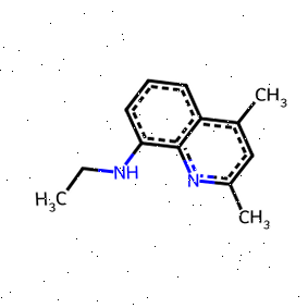 CCNc1cccc2c(C)cc(C)nc12